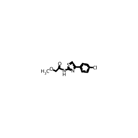 COCC(=O)Nc1nc(-c2ccc(Cl)cc2)cs1